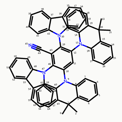 CC1(C)c2ccccc2N(c2cc(N3c4ccccc4C(C)(C)c4ccccc43)c(-n3c4ccccc4c4ccccc43)c(C#N)c2-n2c3ccccc3c3ccccc32)c2ccccc21